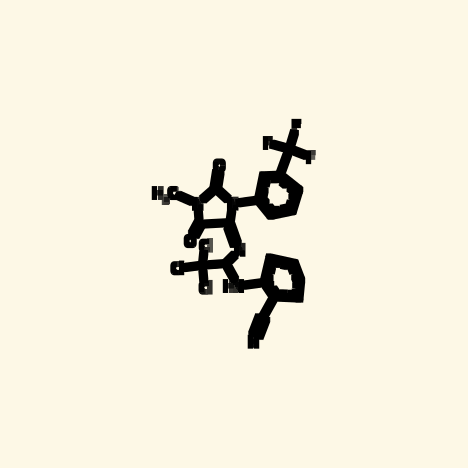 CN1C(=O)C(=NC(Nc2ccccc2C#N)C(Cl)(Cl)Cl)N(c2cccc(C(F)(F)F)c2)C1=O